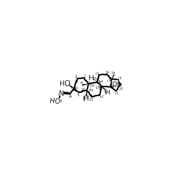 C[C@]12CC[C@@](O)(C=NO)C[C@H]1CC[C@@H]1[C@@H]2CC[C@]2(C)CCC[C@]12O